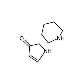 C1CCNCC1.O=C1C=CNC1